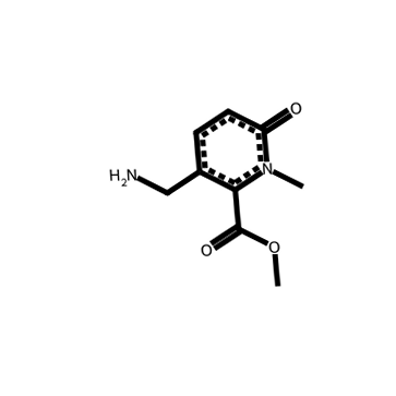 COC(=O)c1c(CN)ccc(=O)n1C